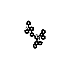 c1ccc(-c2nc3ccccc3c3c(-c4cccc(-c5cc(-c6cc7ccccc7c7ccccc67)nc(-c6cc7ccccc7c7ccccc67)n5)c4)cccc23)cc1